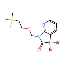 CS(C)(C)CCOCN1C(=O)C(Br)(Br)c2cccnc21